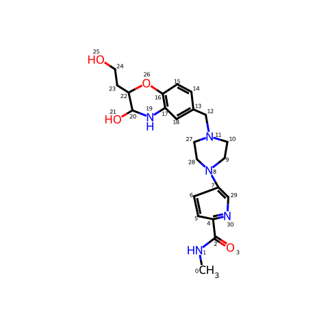 CNC(=O)c1ccc(N2CCN(Cc3ccc4c(c3)NC(O)C(CCO)O4)CC2)cn1